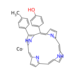 Cc1ccc(-c2cc3cc4nc(cc5ccc(cc6nc(c(-c7ccc(O)cc7)c2[nH]3)C=C6)[nH]5)C=C4)cc1.[Co]